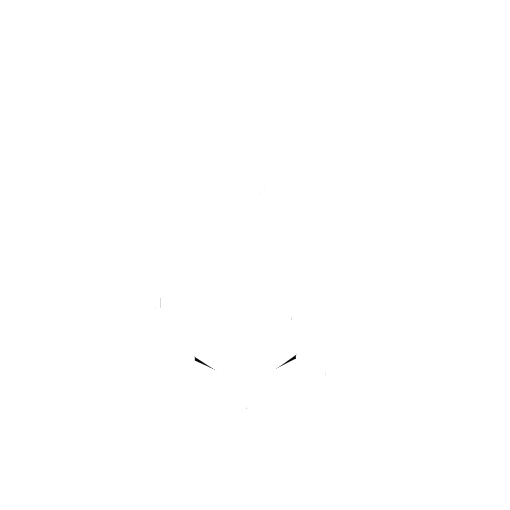 CC1(C)[C@H](C(=O)OCc2ccc(F)c(Oc3ccccc3)c2)[C@@H]1C=C(Cl)Cl